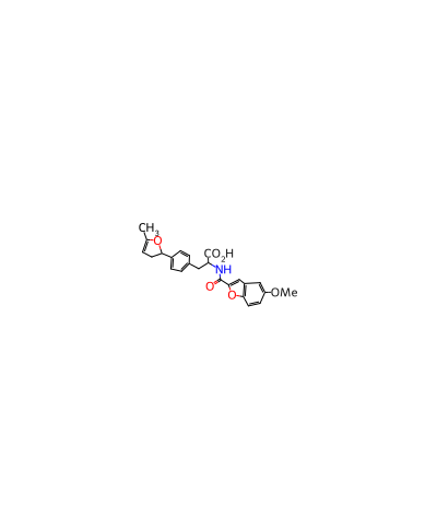 COc1ccc2oc(C(=O)NC(Cc3ccc(C4CC=C(C)O4)cc3)C(=O)O)cc2c1